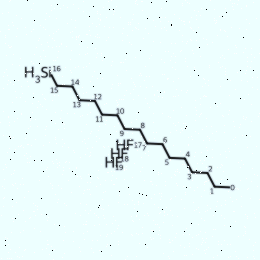 CCCCCCCCCCCCCCCC[SiH3].F.F.F